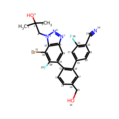 CC(C)(O)Cn1nnc2cc(-c3ccc(CO)cc3-c3ccc(C#N)c(F)c3)c(F)c(Br)c21